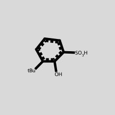 CC(C)(C)c1cccc(S(=O)(=O)O)c1O